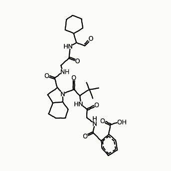 CC(C)(C)C(NC(=O)CNC(=O)c1ccccc1C(=O)O)C(=O)N1C(C(=O)NCC(=O)NC(C=O)C2CCCCC2)CC2CCCCC21